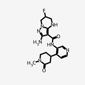 CN1CCC(c2ccncc2NC(=O)c2c(N)nn3c2NCC(F)C3)CC1=O